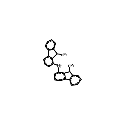 CCCC1c2ccccc2-c2ccc[c]([Hf][c]3cccc4c3C(CCC)c3ccccc3-4)c21